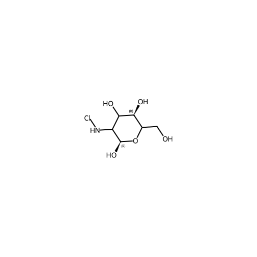 OCC1O[C@@H](O)C(NCl)C(O)[C@H]1O